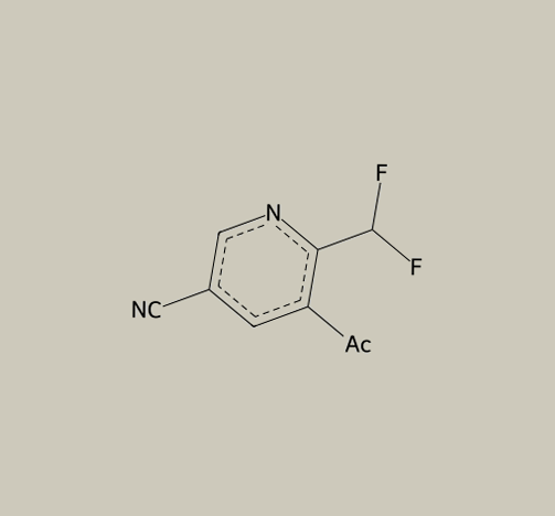 CC(=O)c1cc(C#N)cnc1C(F)F